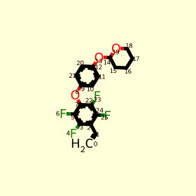 C=Cc1c(F)c(F)c(Oc2ccc(OC3CCCCO3)cc2)c(F)c1F